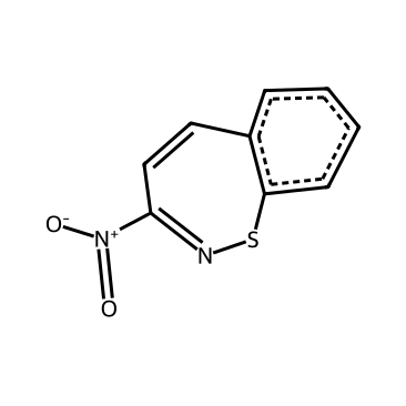 O=[N+]([O-])C1=NSc2ccccc2C=C1